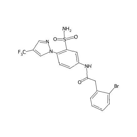 NS(=O)(=O)c1cc(NC(=O)Cc2ccccc2Br)ccc1-n1cc(C(F)(F)F)cn1